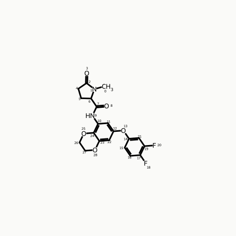 CN1C(=O)CCC1C(=O)Nc1cc(Oc2ccc(F)c(F)c2)cc2c1OCCO2